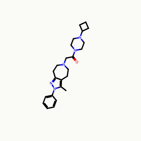 Cc1c2c(nn1-c1ccccc1)CCN(CC(=O)N1CCN(C3CCC3)CC1)CC2